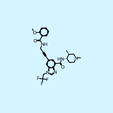 COc1ccccc1C(=O)NCC#Cc1cc(C(=O)N[C@H]2CCN(C)C[C@@H]2C)c2ncn(CC(F)(F)F)c2c1